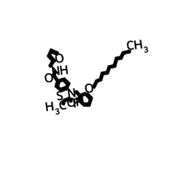 CCCCCCCCCCCCOc1cccc(F)c1CN1c2ccc(C(=O)NCc3ccco3)cc2SC(C)C1O